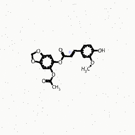 COc1cc(/C=C/C(=O)Oc2cc3c(cc2OC(C)=O)OCO3)ccc1O